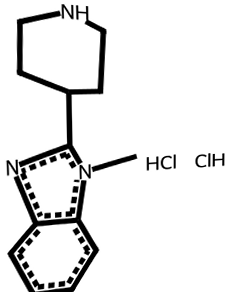 Cl.Cl.Cn1c(C2CCNCC2)nc2ccccc21